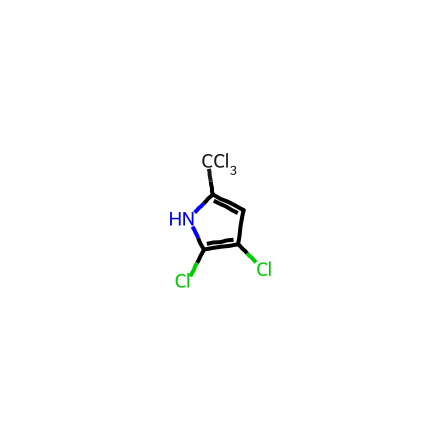 Clc1cc(C(Cl)(Cl)Cl)[nH]c1Cl